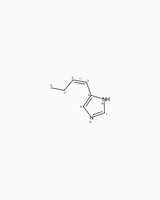 CC/C=C\c1cnc[nH]1